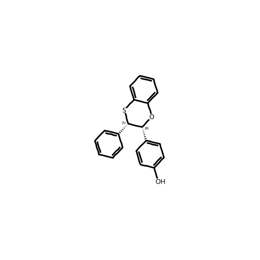 Oc1ccc([C@H]2Oc3ccccc3S[C@H]2c2ccccc2)cc1